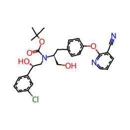 CC(C)(C)OC(=O)N(C[C@H](O)c1cccc(Cl)c1)[C@H](CO)Cc1ccc(Oc2ncccc2C#N)cc1